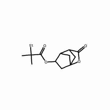 CCC(C)(C)C(=O)OC1CC23CC(C(=O)O2)C1C3